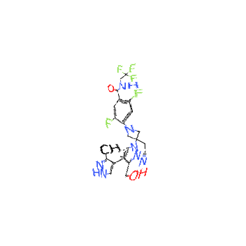 Cc1n[nH]cc1-c1cn(C2(CC#N)CN(c3cc(F)c(C(=O)NCC(F)(F)F)cc3F)C2)nc1CO